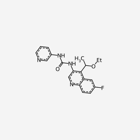 CCOC(C)c1c(NC(=O)Nc2cccnc2)cnc2ccc(F)cc12